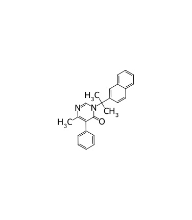 Cc1ncn(C(C)(C)c2ccc3ccccc3c2)c(=O)c1-c1ccccc1